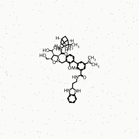 COc1c(CN2O[C@@H](CO)[C@@H]([C@H](C)O)[C@H]2C(=O)N[C@H]2C[C@H]3C[C@@H]([C@@H]2C)C3(C)C)cccc1-c1cc(C(=O)NCCC2Nc3ccccc3N2)cc(N(C)C)c1